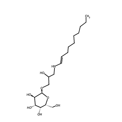 CCCCCCCCC=CNCC(O)CO[C@H]1O[C@H](CO)[C@H](O)[C@H](O)[C@H]1O